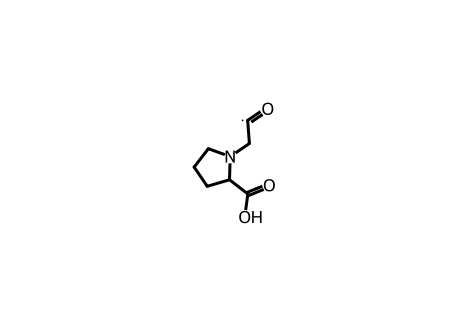 O=[C]CN1CCCC1C(=O)O